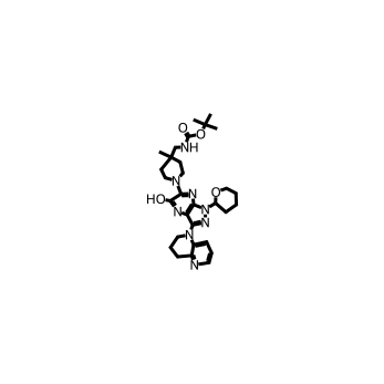 CC1(CNC(=O)OC(C)(C)C)CCN(c2nc3c(nc2O)c(N2CCCc4ncccc42)nn3C2CCCCO2)CC1